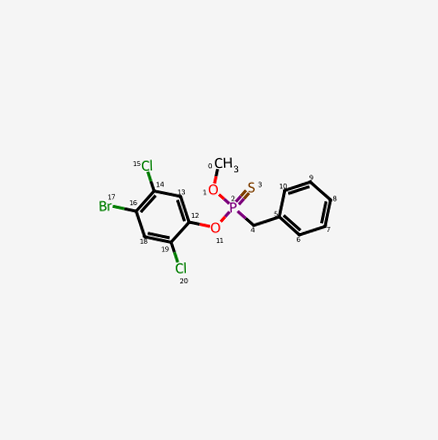 COP(=S)(Cc1ccccc1)Oc1cc(Cl)c(Br)cc1Cl